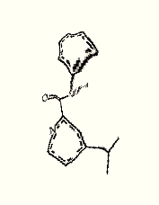 CC(C)c1ccnc(C(=O)Nc2ccccc2)c1